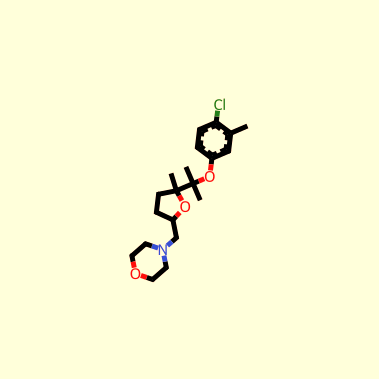 Cc1cc(OC(C)(C)C2(C)CCC(CN3CCOCC3)O2)ccc1Cl